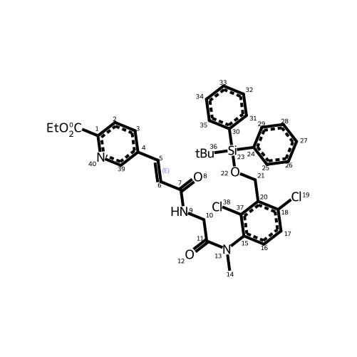 CCOC(=O)c1ccc(/C=C/C(=O)NCC(=O)N(C)c2ccc(Cl)c(CO[Si](c3ccccc3)(c3ccccc3)C(C)(C)C)c2Cl)cn1